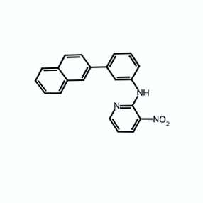 O=[N+]([O-])c1cccnc1Nc1cccc(-c2ccc3ccccc3c2)c1